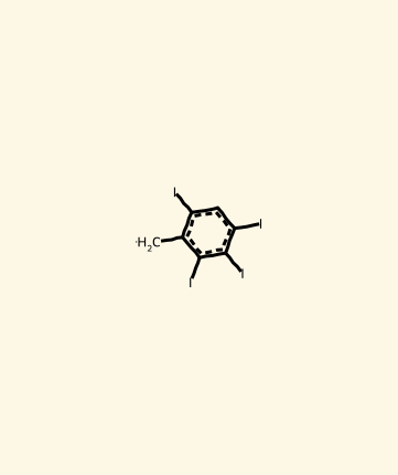 [CH2]c1c(I)cc(I)c(I)c1I